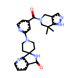 CC1(C)CN(C(=O)c2ccnc(N3[CH]CC4(CC3)NC(=O)c3cccnc34)c2)Cc2cn[nH]c21